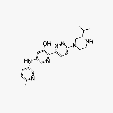 Cc1ccc(Nc2cnc(-c3ccc(N4CCN[C@H](C(C)C)C4)nn3)c(O)c2)cn1